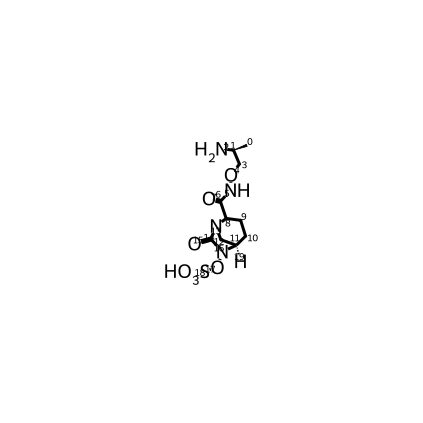 C[C@H](N)CONC(=O)C1CC[C@@H]2CN1C(=O)N2OS(=O)(=O)O